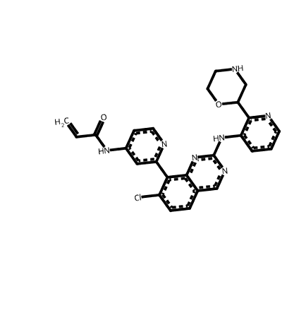 C=CC(=O)Nc1ccnc(-c2c(Cl)ccc3cnc(Nc4cccnc4C4CNCCO4)nc23)c1